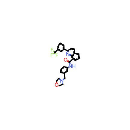 O=C(Nc1cccc(CN2CCOCC2)c1)c1cccc2ccc(-c3cccc(C(F)(F)F)c3)nc12